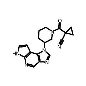 N#CC1(C(=O)N2CCCC(n3cnc4cnc5[nH]ccc5c43)C2)CC1